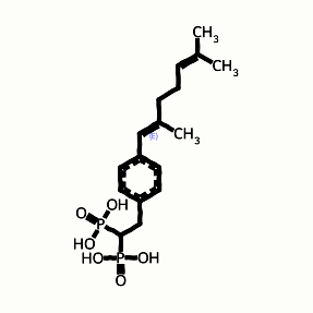 CC(C)=CCC/C(C)=C/c1ccc(CC(P(=O)(O)O)P(=O)(O)O)cc1